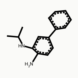 CC(C)Nc1cc(-c2ccccc2)ccc1N